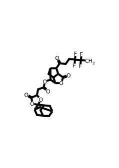 CC(F)(F)C(F)(F)CCC(=O)C1C2CC3C(OC(=O)C31)C2OC(=O)CC1OC2(OC1=O)C1CC3CC(C1)CC2C3